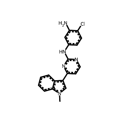 Cn1cc(-c2ccnc(Nc3ccc(Cl)c(N)c3)n2)c2ccccc21